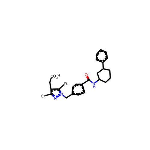 CCc1nn(Cc2ccc(C(=O)NC3CCCC(c4ccccc4)C3)cc2)c(CC)c1CC(=O)O